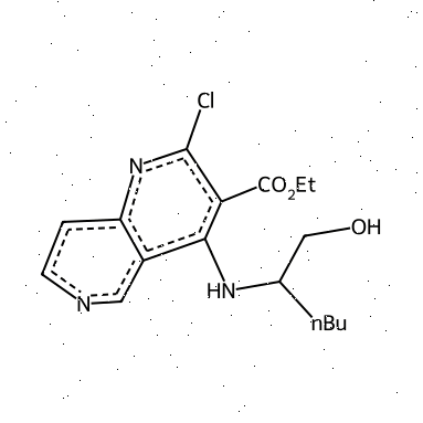 CCCCC(CO)Nc1c(C(=O)OCC)c(Cl)nc2ccncc12